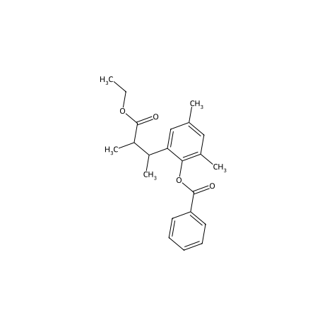 CCOC(=O)C(C)C(C)c1cc(C)cc(C)c1OC(=O)c1ccccc1